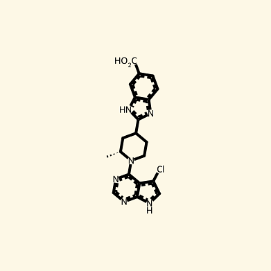 C[C@@H]1CC(c2nc3ccc(C(=O)O)cc3[nH]2)CCN1c1ncnc2[nH]cc(Cl)c12